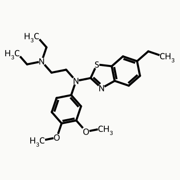 CCc1ccc2nc(N(CCN(CC)CC)c3ccc(OC)c(OC)c3)sc2c1